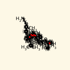 CCc1cc(OCCCCN)ccc1-c1ccc(C[C@H](NC(=O)[C@H](CC(=O)O)NC(=O)[C@H](C)NC(=O)[C@@H](NC(=O)[C@](C)(Cc2ccccc2F)NC(=O)[C@@H](NC(=O)CNC(=O)[C@H](Cc2nn[nH]n2)NC(=O)C(C)(C)c2ccn[nH]2)[C@@H](C)O)[C@@H](C)O)C(=O)N[C@@H](CCCc2cc(C)cc(C)c2)C(N)=O)cc1